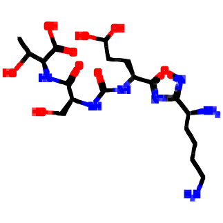 CC(O)[C@H](NC(=O)[C@H](CO)NC(=O)N[C@@H](CCC(O)O)c1nc([C@@H](N)CCCCN)no1)C(=O)O